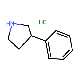 Cl.c1ccc(C2CCNC2)cc1